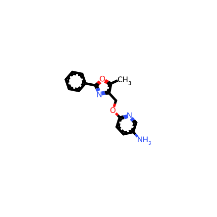 Cc1oc(-c2ccccc2)nc1COc1ccc(N)cn1